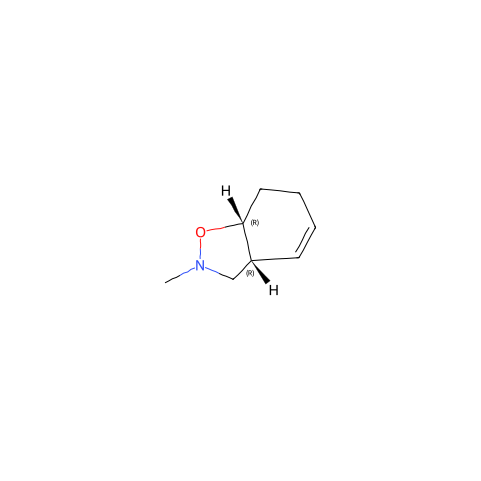 CN1C[C@H]2C=CCC[C@H]2O1